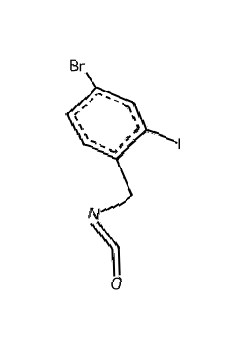 O=C=NCc1ccc(Br)cc1I